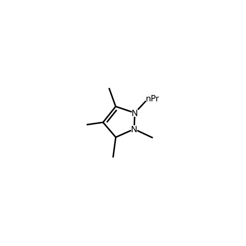 CCCN1C(C)=C(C)C(C)N1C